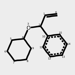 C=CC(OC1CCCCC1)c1ccccc1